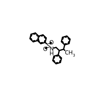 CC(c1ccccc1)C(CNS(=O)(=O)c1ccc2ccccc2c1)c1ccccc1